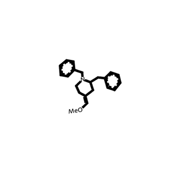 COC=C1CCN(Cc2ccccc2)C(Cc2ccccc2)C1